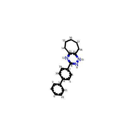 c1ccc(-c2ccc(-c3nnc4c(n3)CCCCC4)cc2)cc1